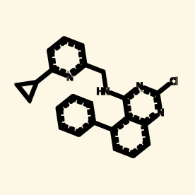 Clc1nc(NCc2cccc(C3CC3)n2)c2c(-c3ccccc3)cccc2n1